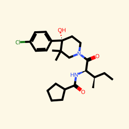 CC[C@@H](C)[C@@H](NC(=O)C1CCCC1)C(=O)N1CC[C@](O)(c2ccc(Cl)cc2)C(C)(C)C1